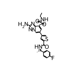 CCNS(=O)(=O)c1cc(-c2csc(C(=O)N[C@@H](C)c3ccc(F)cc3)c2)cn2nc(N)nc12